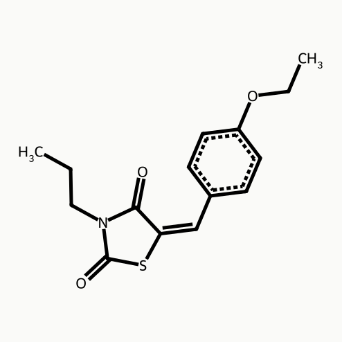 CCCN1C(=O)S/C(=C/c2ccc(OCC)cc2)C1=O